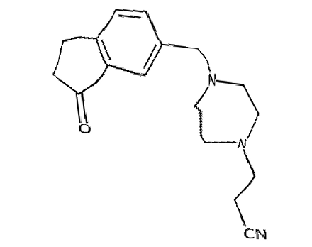 N#CCCN1CCN(Cc2ccc3c(c2)C(=O)CC3)CC1